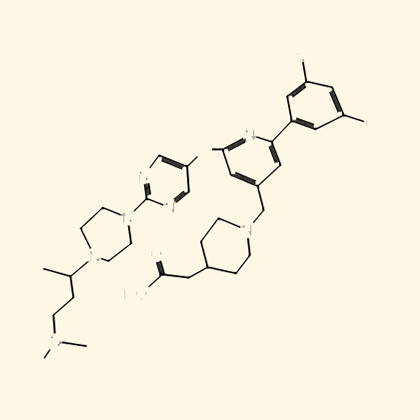 CC(CCN(C)C)N1CCN(c2ncc(Oc3cc(CN4CCC(CC(=O)O)CC4)cc(-c4cc(Cl)cc(Cl)c4)n3)cn2)CC1